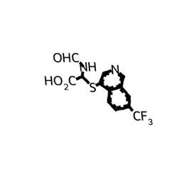 O=CNC(Sc1cncc2cc(C(F)(F)F)ccc12)C(=O)O